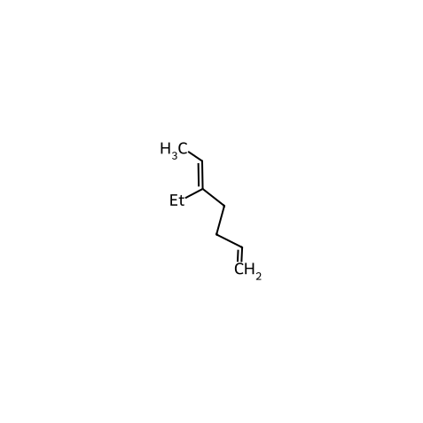 C=CCC/C(=C/C)CC